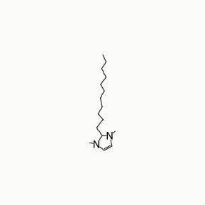 CCCCCCCCCCCC1N(C)C=CN1C